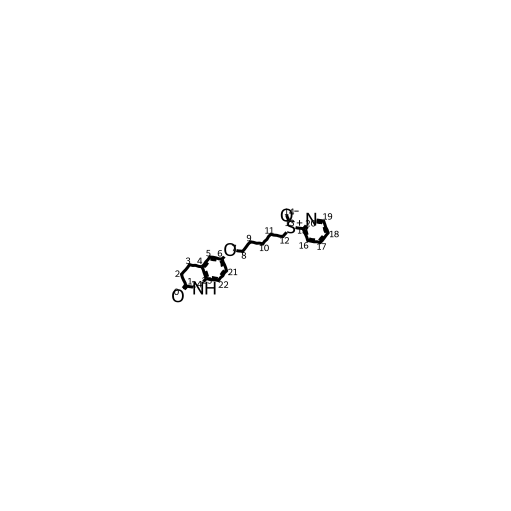 O=C1CCc2cc(OCCCCC[S+]([O-])c3ccccn3)ccc2N1